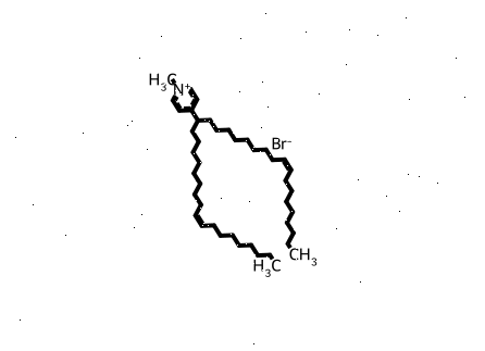 CCCCCCCC/C=C\CCCCCCCCC(CCCCCCCC/C=C\CCCCCCCC)c1cc[n+](C)cc1.[Br-]